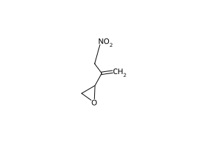 C=C(C[N+](=O)[O-])C1CO1